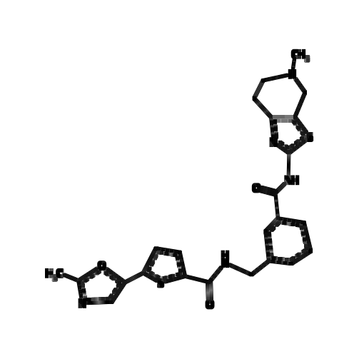 Cc1ncc(-c2ccc(C(=O)NCc3cccc(C(=O)Nc4nc5c(s4)CN(C)CC5)c3)s2)o1